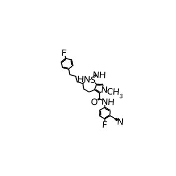 Cn1cc2c(c1C(=O)Nc1ccc(F)c(C#N)c1)CCC(CCCc1ccc(F)cc1)NS2=N